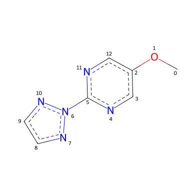 COc1cnc(-n2nccn2)nc1